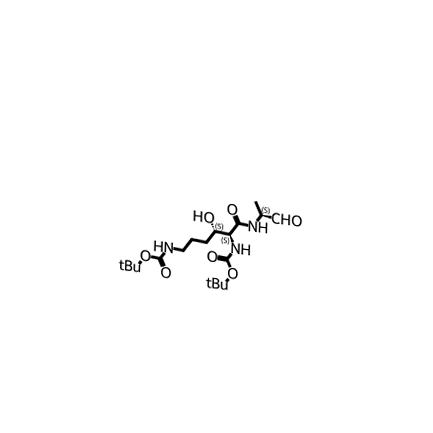 C[C@@H](C=O)NC(=O)[C@@H](NC(=O)OC(C)(C)C)[C@@H](O)CCCNC(=O)OC(C)(C)C